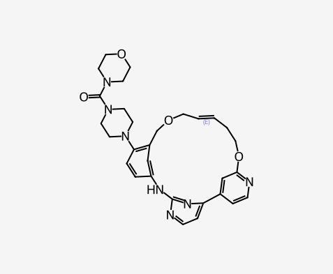 O=C(N1CCOCC1)N1CCN(c2ccc3cc2COC/C=C/CCOc2cc(ccn2)-c2ccnc(n2)N3)CC1